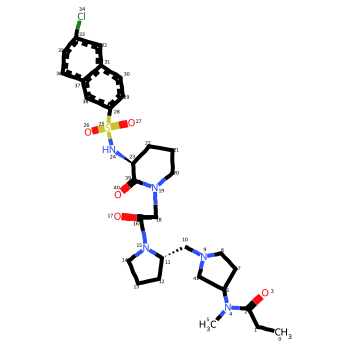 CCC(=O)N(C)C1CCN(C[C@@H]2CCCN2C(=O)CN2CCC[C@H](NS(=O)(=O)c3ccc4cc(Cl)ccc4c3)C2=O)C1